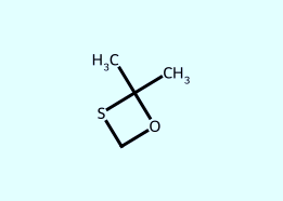 CC1(C)OCS1